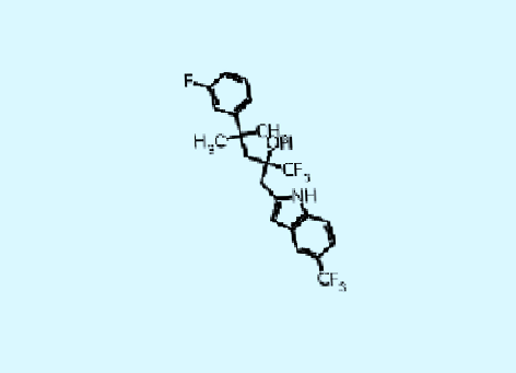 CC(C)(CC(O)(Cc1cc2cc(C(F)(F)F)ccc2[nH]1)C(F)(F)F)c1cccc(F)c1